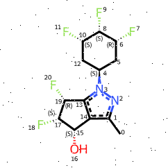 Cc1nn([C@@H]2C[C@@H](F)[C@@H](F)[C@@H](F)C2)c2c1[C@H](O)[C@H](F)[C@@H]2F